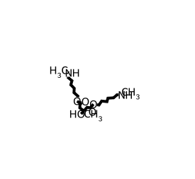 CNCCCCCCOC(=O)CC(C)(O)CC(=O)OCCCCCCNC